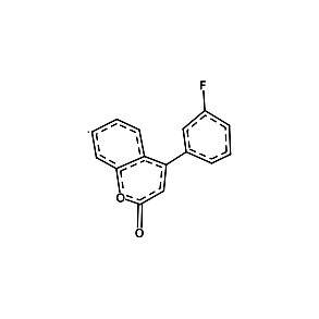 O=c1cc(-c2cccc(F)c2)c2cc[c]cc2o1